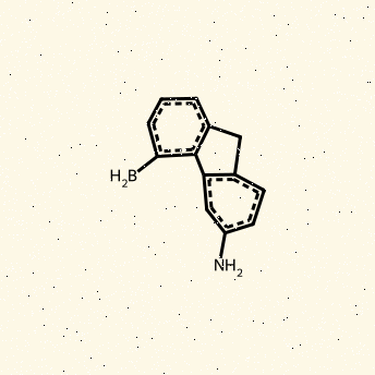 Bc1cccc2c1-c1cc(N)ccc1C2